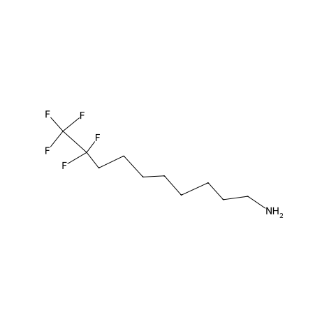 NCCCCCCCCC(F)(F)C(F)(F)F